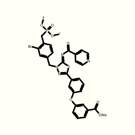 COC(=O)c1cccc(Oc2cccc(-c3nn(Cc4ccc(CP(=O)(OF)OF)c(Br)c4)c(=NC(=O)c4ccncc4)s3)c2)c1